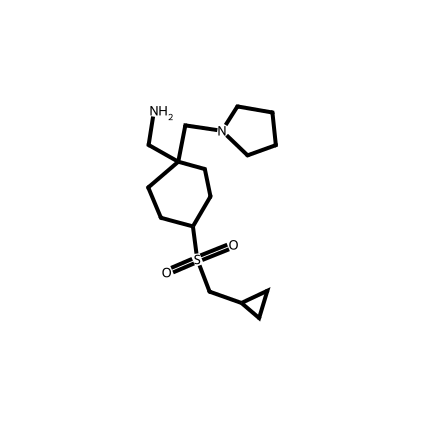 NCC1(CN2CCCC2)CCC(S(=O)(=O)CC2CC2)CC1